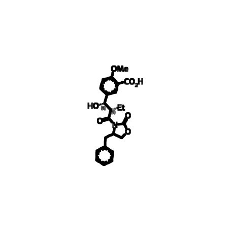 CC[C@H](C(=O)N1C(=O)OCC1Cc1ccccc1)[C@H](O)c1ccc(OC)c(C(=O)O)c1